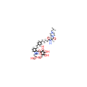 CC(C)CN1CCN(C(=O)C(C)(C)NC(=O)CCCCc2ccc(CCc3cccc4c3c(O[C@@H]3O[C@H](CO)[C@@H](O)[C@H](O)[C@H]3O)nn4CCO)cc2)CC1